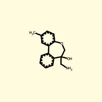 Cc1ccc2c(c1)-c1ccccc1C(O)(CN)CO2